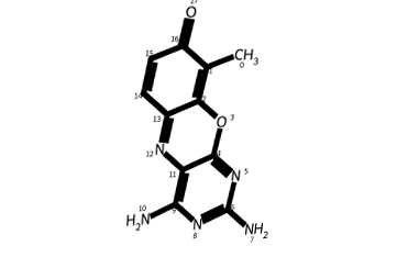 Cc1c2oc3nc(N)nc(N)c3nc-2ccc1=O